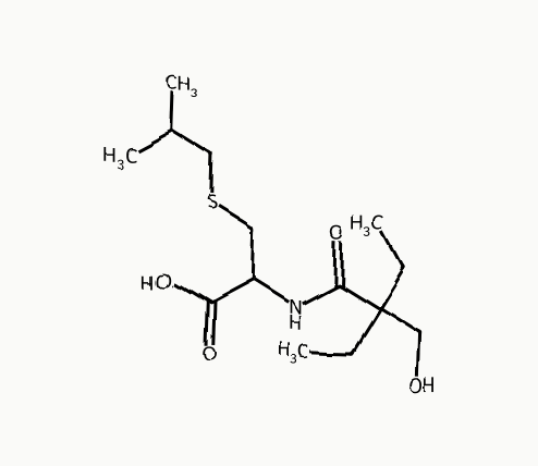 CCC(CC)(CO)C(=O)NC(CSCC(C)C)C(=O)O